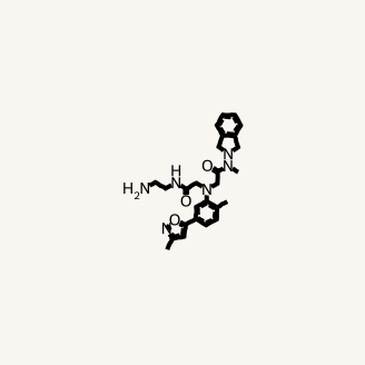 Cc1cc(-c2ccc(C)c(N(CC(=O)NCCN)CC(=O)N(C)N3Cc4ccccc4C3)c2)on1